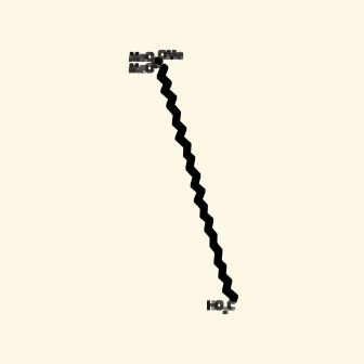 CO[Si](CCCCCCCCCCCCCCCCCCCCCCCCCCCCCCCC(=O)O)(OC)OC